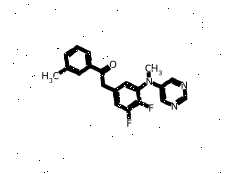 Cc1cccc(C(=O)Cc2cc(F)c(F)c(N(C)c3cncnc3)c2)c1